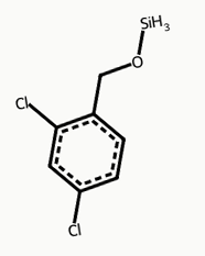 [SiH3]OCc1ccc(Cl)cc1Cl